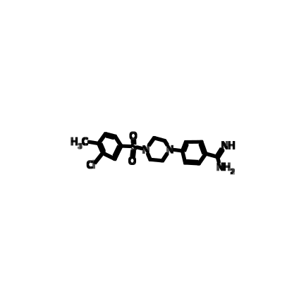 Cc1ccc(S(=O)(=O)N2CCN(c3ccc(C(=N)N)cc3)CC2)cc1Cl